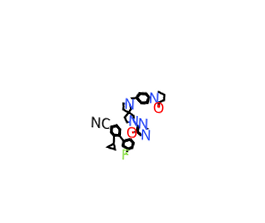 N#Cc1ccc(-c2cc(F)ccc2Oc2cncnc2N2CCC3(CCN(Cc4ccc(N5CCCC5=O)cc4)C3)C2)c(C2CC2)c1